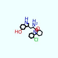 NC(Cc1c[nH]c2ccc(O)cc12)C1=NC2(c3ccccc3Cl)CCCC(O1)C2=O